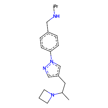 CC(C)NCc1ccc(-n2cc(CC(C)N3CCC3)cn2)cc1